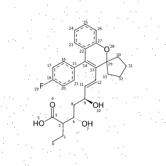 CCC(C(=O)O)[C@@H](O)C[C@H](O)C=CC1=C(c2ccc(F)cc2)c2ccccc2OC12CCCC2